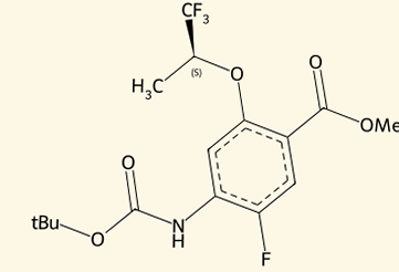 COC(=O)c1cc(F)c(NC(=O)OC(C)(C)C)cc1O[C@@H](C)C(F)(F)F